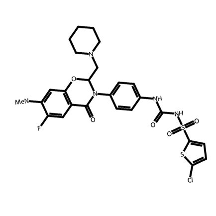 CNc1cc2c(cc1F)C(=O)N(c1ccc(NC(=O)NS(=O)(=O)c3ccc(Cl)s3)cc1)C(CN1CCCCC1)O2